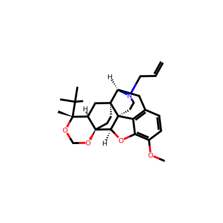 C=CCN1CC[C@]23c4c5ccc(OC)c4O[C@H]2[C@@]24CC[C@]3(C[C@@H]2[C@@](C)(C(C)(C)C)OCO4)[C@H]1C5